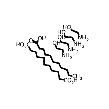 CCCCCCCCCCC(=O)O.NCCO.NCCO.NCCO.NCCO.O=C(O)CCCCCCCCCC(=O)O